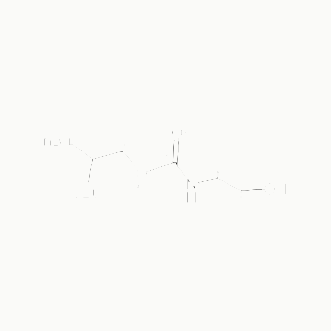 CCCCC(CC)COC(=O)NCCO